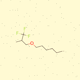 [CH2]CCCCCOCC(C)C(F)(F)F